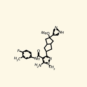 COC1(c2cn[nH]c2)CC2CC(c3nn(C)c(N)c3C(=O)Nc3ccc(F)c(C)c3)CC2C1